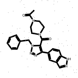 CC(=O)N1CCN(C(=O)c2c(-c3ccc4[nH]ncc4c3)nnn2Cc2ccccc2)CC1